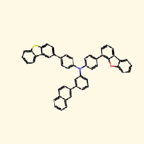 c1cc(-c2ccc3ccccc3c2)cc(N(c2ccc(-c3ccc4sc5ccccc5c4c3)cc2)c2ccc(-c3cccc4c3oc3ccccc34)cc2)c1